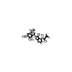 CS(=O)(=O)CC(c1ccc(O)c(O)c1)N1Cc2cccc(NC(=O)C3CC3)c2C1=O